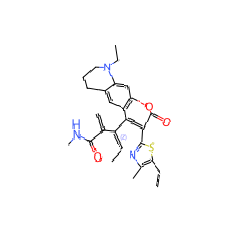 C=Cc1sc(-c2c(/C(=C/C)C(=C)C(=O)NC)c3cc4c(cc3oc2=O)N(CC)CCC4)nc1C